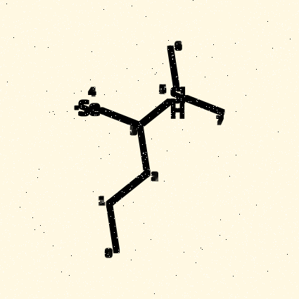 CCCC([Se])[SiH](C)C